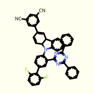 N#Cc1cc(C#N)cc(C2=CC3c4ccccc4N(c4ccc(-c5c(F)cccc5F)cc4-c4nc(-c5ccccc5)nc(-c5ccccc5)n4)C3C=C2)c1